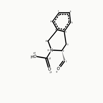 O=C[C@H]1Cc2ccccc2CN1C(=O)O